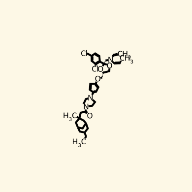 C=CN(/C=C\C)C[C@]1(c2ccc(Cl)cc2Cl)OC[C@H](COc2ccc(N3CCN(C(=O)CC4(C)CC5CC(CC)CC(C5)C4)CC3)cc2)O1